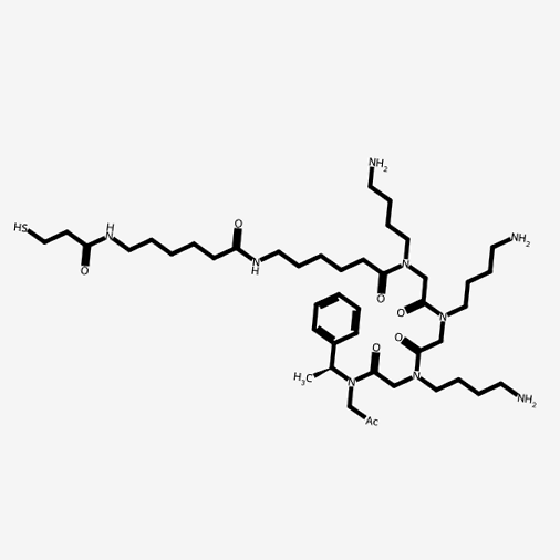 CC(=O)CN(C(=O)CN(CCCCN)C(=O)CN(CCCCN)C(=O)CN(CCCCN)C(=O)CCCCCNC(=O)CCCCCNC(=O)CCS)[C@@H](C)c1ccccc1